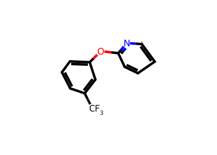 FC(F)(F)c1cccc(Oc2ccc[c]n2)c1